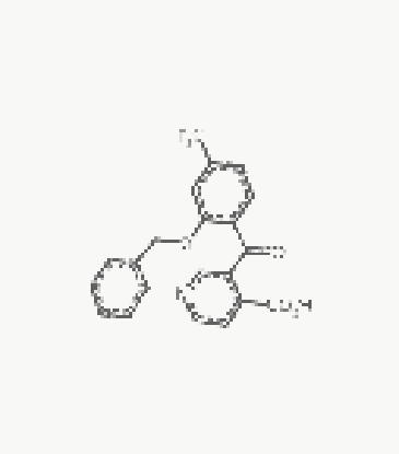 O=C(O)c1ccncc1C(=O)c1ccc(C(F)(F)F)cc1OCc1ccccc1